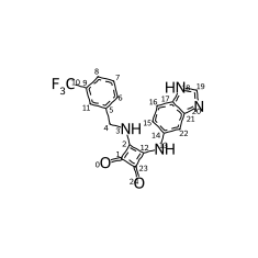 O=c1c(NCc2cccc(C(F)(F)F)c2)c(Nc2ccc3[nH]cnc3c2)c1=O